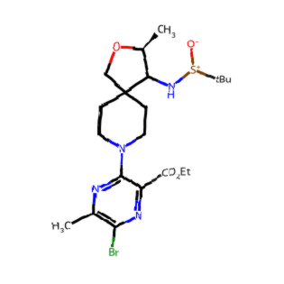 CCOC(=O)c1nc(Br)c(C)nc1N1CCC2(CC1)CO[C@@H](C)C2N[S+]([O-])C(C)(C)C